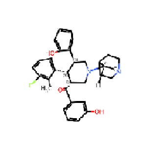 Cc1c(F)cccc1[C@H]1[C@@H](C(=O)c2cccc(O)c2)CN([C@H]2CN3CCC2CC3)C[C@@H]1c1cc[c]cc1O